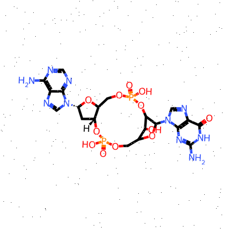 Nc1nc2c(ncn2C2OC3COP(=O)(O)O[C@@H]4C[C@H](n5cnc6c(N)ncnc65)OC4COP(=O)(O)OC2C3O)c(=O)[nH]1